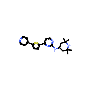 CC1(C)CC(Nc2nccc(-c3ccc(-c4ccncc4)s3)n2)CC(C)(C)N1